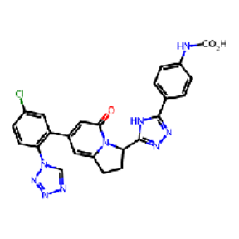 O=C(O)Nc1ccc(-c2nnc(C3CCc4cc(-c5cc(Cl)ccc5-n5cnnn5)cc(=O)n43)[nH]2)cc1